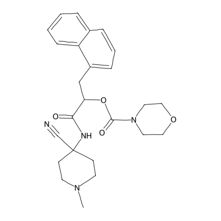 CN1CCC(C#N)(NC(=O)C(Cc2cccc3ccccc23)OC(=O)N2CCOCC2)CC1